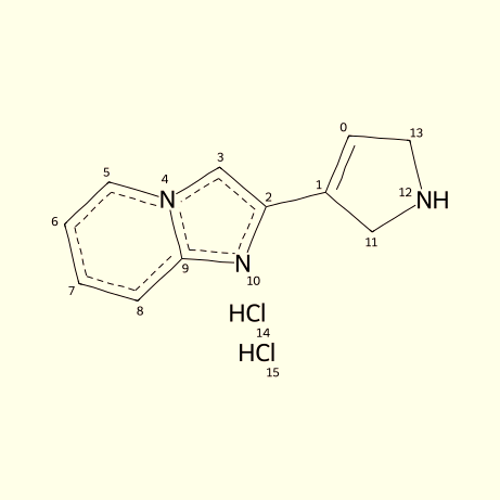 C1=C(c2cn3ccccc3n2)CNC1.Cl.Cl